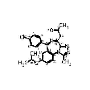 CC(=O)C[C@@H]1N=C(c2ccc(Cl)cc2)c2cc(SC(C)C)ccc2-n2c(C)nnc21